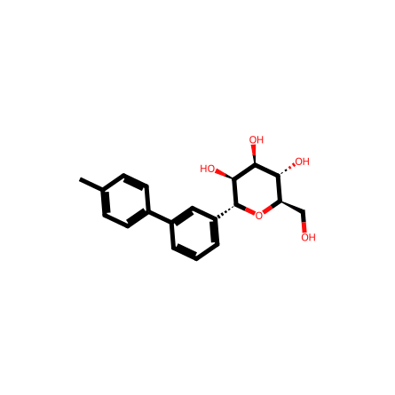 Cc1ccc(-c2cccc([C@H]3O[C@H](CO)[C@@H](O)[C@H](O)[C@@H]3O)c2)cc1